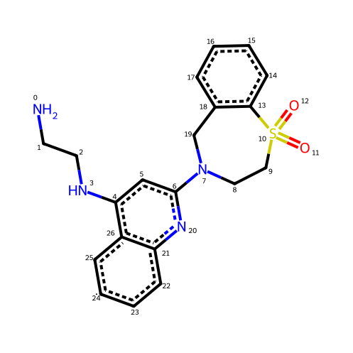 NCCNc1cc(N2CCS(=O)(=O)c3ccccc3C2)nc2cc[c]cc12